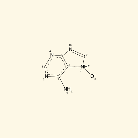 Nc1ncnc2c1[NH+]([O-])C=N2